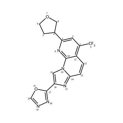 FC(F)(F)c1cc(C2CCOC2)nc2c1ccc1nc(-c3nnco3)cn12